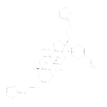 COc1ccc([C@@]2(OCCN3CCCC3)CC[C@]3(O)[C@@H]4CC[C@H]5C[C@@H](OCCN6CCCC6)CC[C@]5(C)[C@H]4CC[C@]23C)cc1